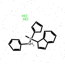 Cl.Cl.[CH3][Ti]([SiH2]c1ccccc1)([C]1=CC=CC1)[CH]1C=Cc2ccccc21